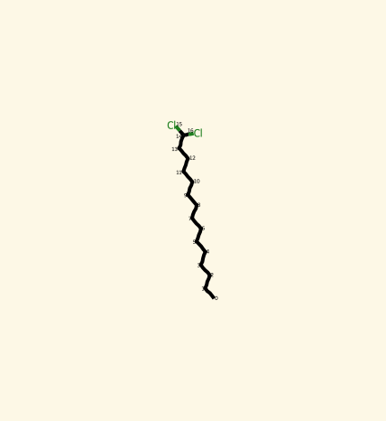 CCCCCCCCCCCCCCC(Cl)Cl